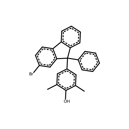 Cc1cc(C2(c3ccccc3)c3ccccc3-c3ccc(Br)cc32)cc(C)c1O